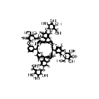 OCC1O[C@@H](Oc2cccc(-c3c4nc(c(-c5c(F)c(F)c(S[C@@H]6OC(CO)[C@@H](O)C(O)C6O)c(F)c5F)c5ccc([nH]5)c(-c5c(F)c(F)c(SC6O[C@H](CO)C(O)[C@@H](O)[C@H]6O)c(F)c5F)c5nc(c(-c6c(F)c(F)c(S[C@@H]7OC(CO)[C@@H](O)C(O)C7O)c(F)c6F)c6ccc3[nH]6)C=C5)C=C4)c2)C(O)C(O)[C@@H]1O